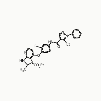 CCOC(=O)N1c2c(Oc3ccc(NC(=O)c4cnn(-c5ccccc5)c4CC)cc3F)ccnc2NC1C